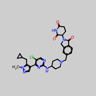 Cn1ncc(-c2nc(NC3CCN(Cc4ccc5c(c4)CN(C4CCC(=O)NC4=O)C5=O)CC3)ncc2Cl)c1CC1CC1